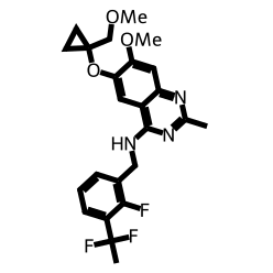 COCC1(Oc2cc3c(NCc4cccc(C(C)(F)F)c4F)nc(C)nc3cc2OC)CC1